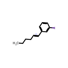 CCCC/C=C/c1cccc(I)c1